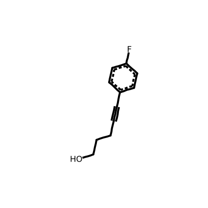 OCCCC#Cc1ccc(F)cc1